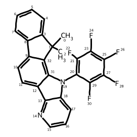 CC1(C)c2ccccc2-c2ccc3c4ncccc4n(-c4c(F)c(F)c(F)c(F)c4F)c3c21